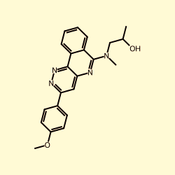 COc1ccc(-c2cc3nc(N(C)CC(C)O)c4ccccc4c3nn2)cc1